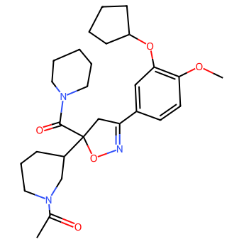 COc1ccc(C2=NOC(C(=O)N3CCCCC3)(C3CCCN(C(C)=O)C3)C2)cc1OC1CCCC1